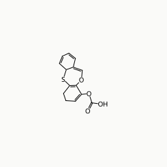 O=C(O)OC1=CCCC2=C1OC=C1C=CC=CC1S2